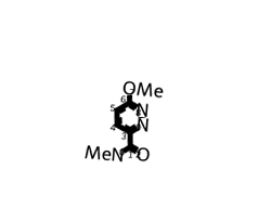 CNC(=O)c1ccc(OC)nn1